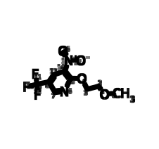 COCCOc1ncc(C(F)(F)F)cc1[N+](=O)[O-]